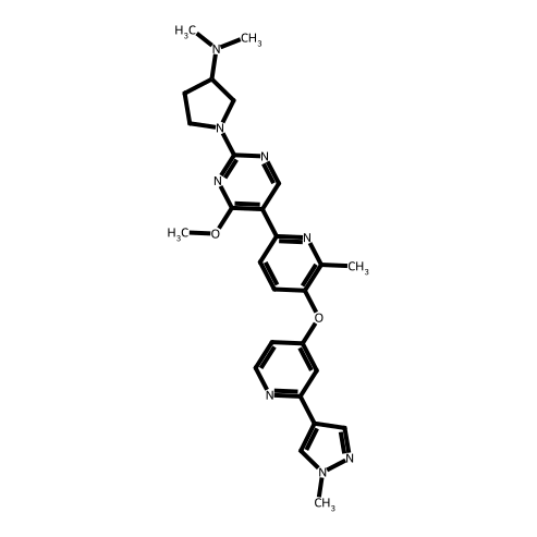 COc1nc(N2CCC(N(C)C)C2)ncc1-c1ccc(Oc2ccnc(-c3cnn(C)c3)c2)c(C)n1